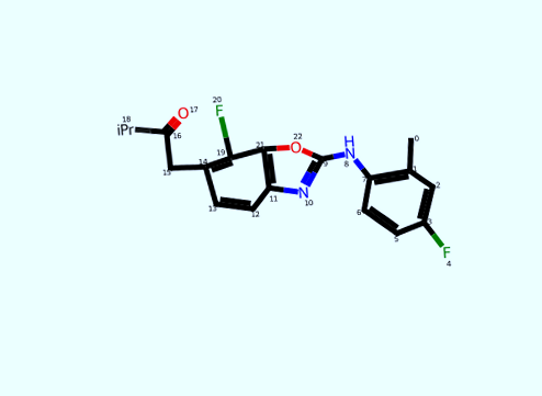 Cc1cc(F)ccc1Nc1nc2ccc(CC(=O)C(C)C)c(F)c2o1